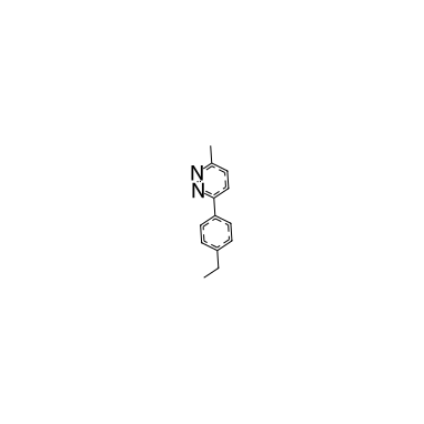 CCc1ccc(-c2ccc(C)nn2)cc1